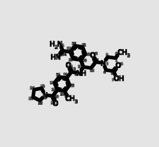 CCCN(CC(=O)O)C(=O)CC(NC(=O)c1ccc(C(=O)N2CCCC2)c(C)c1)c1cccc(C(=N)N)c1